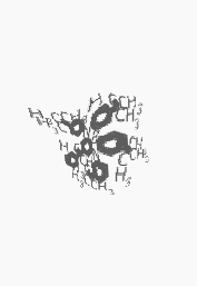 CC(C)(C)C1=CC(N2C3CC(C(C)(C)C)=CC=C3B3C4CC(C(C)(C)C)C=CC4N(C4=CC=C(C(C)(C)C)CC4)C4=CC(C(C)(C)C5=CC=CCC5)CC2C34)=CCC1